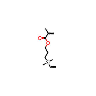 C=C[Si](C)(C)CCCOC(=O)C(=C)C